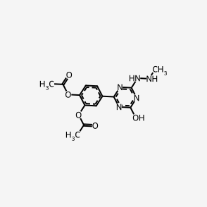 CNNc1nc(O)nc(-c2ccc(OC(C)=O)c(OC(C)=O)c2)n1